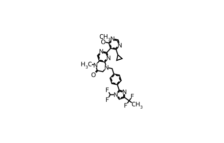 COc1ncnc(C2CC2)c1-c1ncc2c(n1)N(Cc1ccc(-c3nc(C(C)(F)F)cn3C(F)F)cc1)CC(=O)N2C